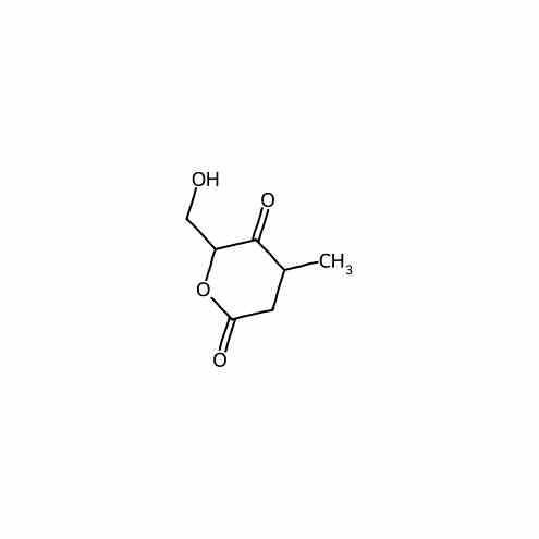 CC1CC(=O)OC(CO)C1=O